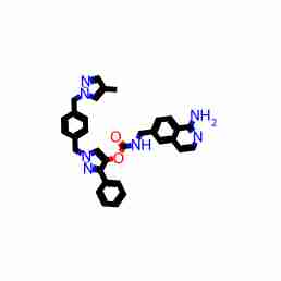 Cc1cnn(Cc2ccc(Cn3cc(OC(=O)NCc4ccc5c(N)nccc5c4)c(-c4ccccc4)n3)cc2)c1